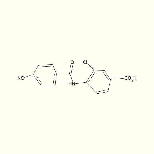 N#Cc1ccc(C(=O)Nc2ccc(C(=O)O)cc2Cl)cc1